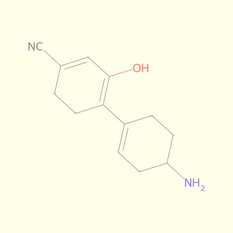 N#CC1=CC(O)=C(C2=CCC(N)CC2)CC1